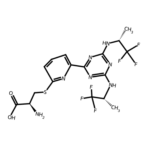 C[C@@H](Nc1nc(N[C@H](C)C(F)(F)F)nc(-c2cccc(SC[C@@H](N)C(=O)O)n2)n1)C(F)(F)F